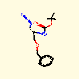 CC(C)(C)OC(=O)N[C@@H](CN=[N+]=[N-])COCc1ccccc1